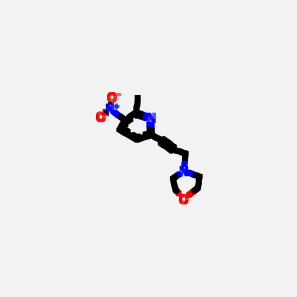 Cc1nc(C#CCN2CCOCC2)ccc1[N+](=O)[O-]